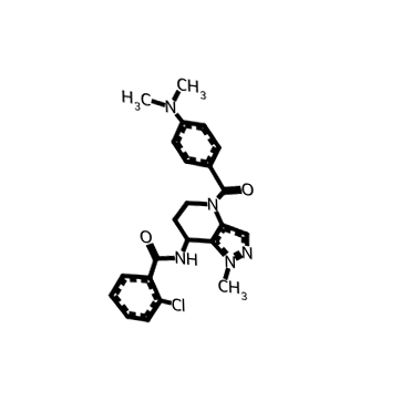 CN(C)c1ccc(C(=O)N2CCC(NC(=O)c3ccccc3Cl)c3c2cnn3C)cc1